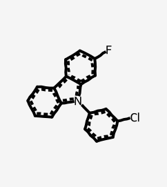 Fc1ccc2c3ccccc3n(-c3cccc(Cl)c3)c2c1